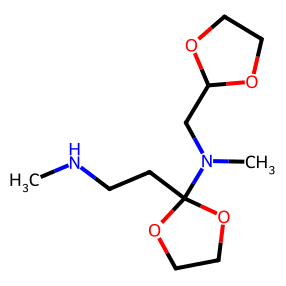 CNCCC1(N(C)CC2OCCO2)OCCO1